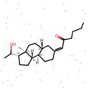 CCCCC(=O)/C=C1/CC[C@@H]2[C@H](CC[C@]3(C)[C@@H](C(C)O)CC[C@@H]23)C1